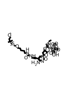 CCSSCO[C@@H]1C[C@H](n2cc(C#CCNC(=O)NCCCCCOCSSC(C)(C)CCOC)c(N)nc2=O)O[C@@H]1COP(=O)(O)OP(=O)(O)OP(=O)(O)O